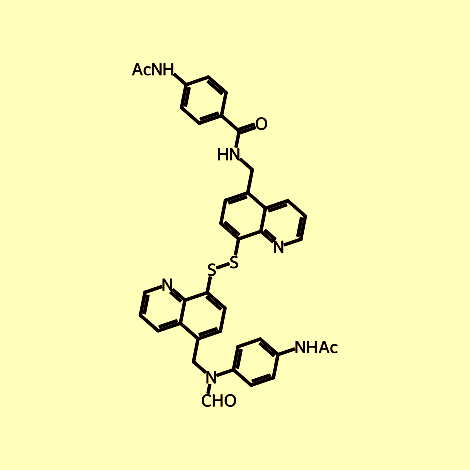 CC(=O)Nc1ccc(C(=O)NCc2ccc(SSc3ccc(CN(C=O)c4ccc(NC(C)=O)cc4)c4cccnc34)c3ncccc23)cc1